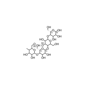 CC1C(CO)OC(OC2C(O)C(O)[C@H](OC3C(CO)OC(OC4C(O)C(O)[C@H](O)O[C@H]4CO)C(O)C3O)O[C@H]2CO)C(O)C1O